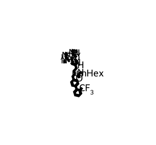 CCCCCCNC(=O)N(CCC1=CS(CP(=O)(N(C)C)N(C)C)(CP(=O)(N(C)C)N(C)C)[C]=N1)Cc1ccc(-c2ccccc2C(F)(F)F)cc1